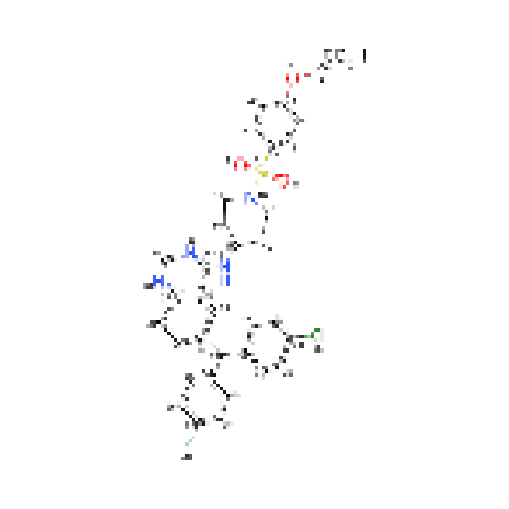 O=C(O)COc1ccc(S(=O)(=O)N2CCC(Nc3ncnc4ccc(C(c5ccc(Cl)cc5)c5ccc(Cl)cc5)cc34)CC2)cc1